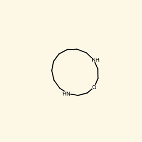 C1CCCCNCCOCCNCCC1